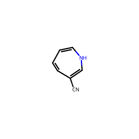 N#CC1=CNC=CC=C1